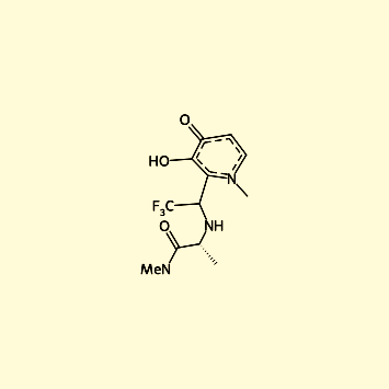 CNC(=O)[C@@H](C)NC(c1c(O)c(=O)ccn1C)C(F)(F)F